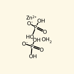 O.O=P([O-])(O)O.O=P([O-])(O)O.[Zn+2]